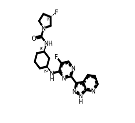 O=C(N[C@@H]1CCC[C@H](Nc2nc(-c3n[nH]c4ncccc34)ncc2F)C1)N1CC[C@H](F)C1